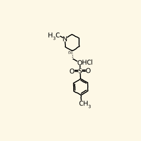 Cc1ccc(S(=O)(=O)OC[C@H]2CCCN(C)C2)cc1.Cl